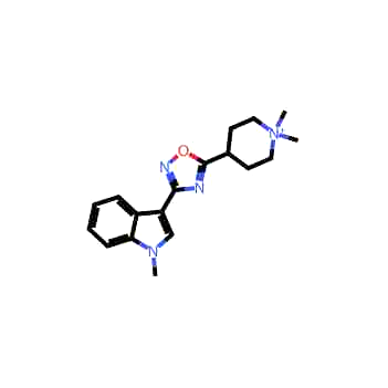 Cn1cc(-c2noc(C3CC[N+](C)(C)CC3)n2)c2ccccc21